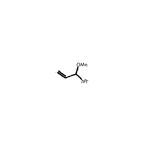 [CH]=CC(CCC)OC